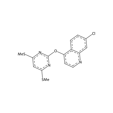 CSc1cc(SC)nc(Oc2ccnc3cc(Cl)ccc23)n1